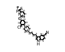 N#Cc1ccc2[nH]cc(CCCCN3CCN(c4ccc(Oc5nccc(C(F)(F)F)n5)cc4Cl)CC3)c2c1